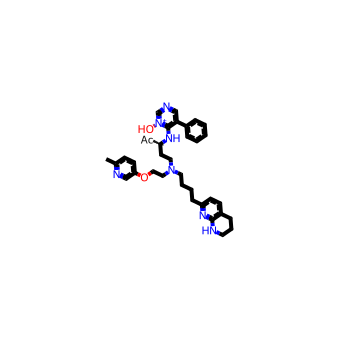 CC(=O)[C@H](CCN(CCCCc1ccc2c(n1)NCCC2)CCOc1ccc(C)nc1)Nc1c(-c2ccccc2)cnc[n+]1O